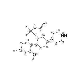 CC(C)(C)OC=O.COc1cc(I)ccc1C1CCC(N2CCNCC2)CC1